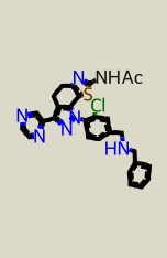 CC(=O)Nc1nc2c(s1)-c1c(c(-c3cnccn3)nn1-c1ccc(CNCc3ccccc3)cc1Cl)CC2